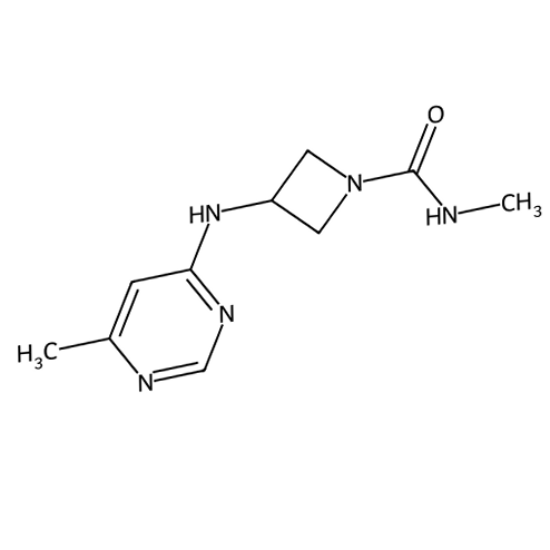 CNC(=O)N1CC(Nc2cc(C)ncn2)C1